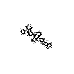 c1ccc(-n2c3ccccc3c3cc(-c4c5ccccc5c(-c5ccc6c(c5)sc5cc7ccccc7cc56)c5ccccc45)ccc32)cc1